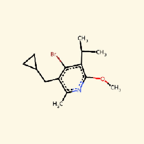 COc1nc(C)c(CC2CC2)c(Br)c1C(C)C